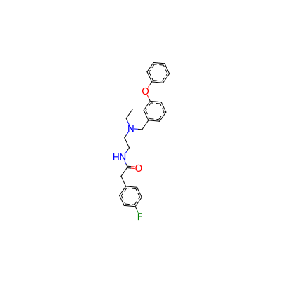 CCN(CCNC(=O)Cc1ccc(F)cc1)Cc1cccc(Oc2ccccc2)c1